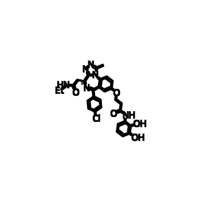 CCNC(=O)C[C@@H]1N=C(c2ccc(Cl)cc2)c2cc(OCCC(=O)Nc3cccc(O)c3O)ccc2-n2c(C)nnc21